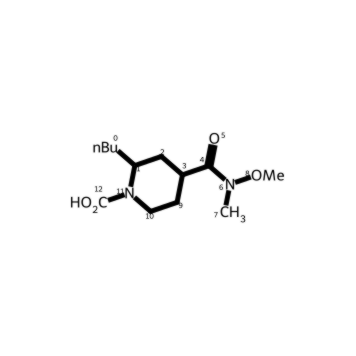 CCCCC1CC(C(=O)N(C)OC)CCN1C(=O)O